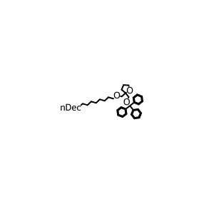 CCCCCCCCCCCCCCCCCCOCC1(COC(c2ccccc2)(c2ccccc2)c2ccccc2)CCCO1